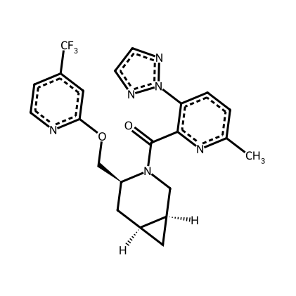 Cc1ccc(-n2nccn2)c(C(=O)N2C[C@H]3C[C@H]3C[C@H]2COc2cc(C(F)(F)F)ccn2)n1